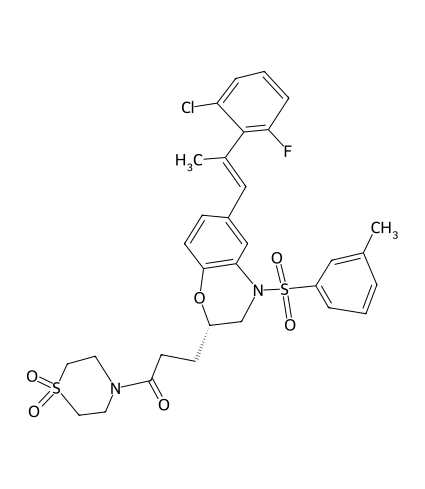 C/C(=C\c1ccc2c(c1)N(S(=O)(=O)c1cccc(C)c1)C[C@H](CCC(=O)N1CCS(=O)(=O)CC1)O2)c1c(F)cccc1Cl